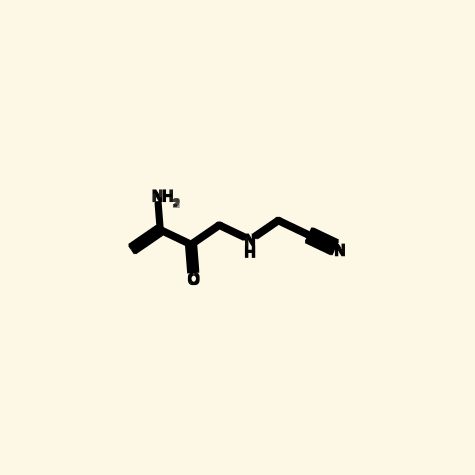 C=C(N)C(=O)CNCC#N